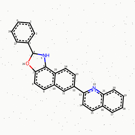 c1ccc(C2Nc3c(ccc4cc(-c5ccc6ccccc6n5)ccc34)O2)cc1